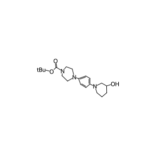 CC(C)(C)OC(=O)N1CCN(c2ccc(N3CCCC(O)C3)cc2)CC1